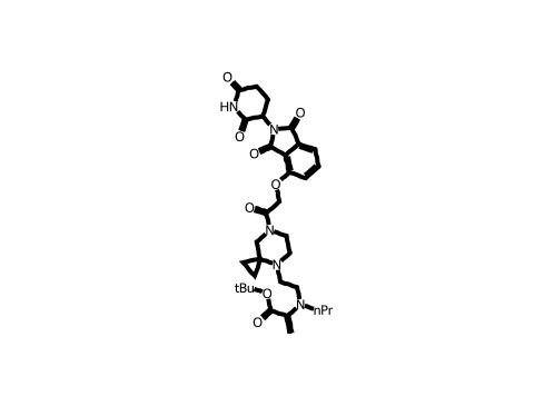 C=C(C(=O)OC(C)(C)C)N(CCC)CCN1CCN(C(=O)COc2cccc3c2C(=O)N(C2CCC(=O)NC2=O)C3=O)CC12CC2